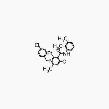 CCc1c(C(=O)Nc2cccc(C)c2C)c(=O)cc(C)n1Cc1ccc(Cl)cc1